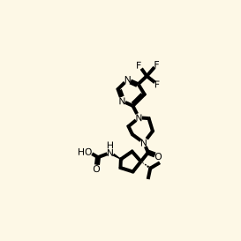 CC(C)[C@]1(C(=O)N2CCN(c3cc(C(F)(F)F)ncn3)CC2)CC[C@@H](NC(=O)O)C1